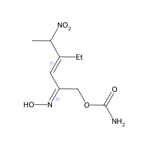 CC/C(=C\C(COC(N)=O)=N/O)C(C)[N+](=O)[O-]